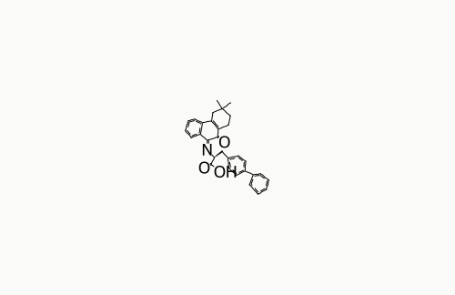 CC1(C)CCC2=C(C1)c1ccccc1C(=N[C@@H](Cc1ccc(-c3ccccc3)cc1)C(=O)O)C2=O